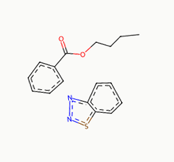 CCCCOC(=O)c1ccccc1.c1ccc2snnc2c1